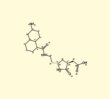 NC1CCC2C(CCCC2C(=O)NCC[C@@H]2C[C@@H](CC(=O)O)C(=O)N2)C1